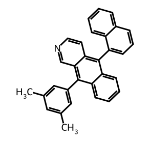 Cc1cc(C)cc(-c2c3ccccc3c(-c3cccc4ccccc34)c3ccncc23)c1